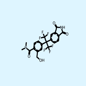 CN(C)C(=O)c1ccc(C(c2ccc3c(c2)C(=O)NC3=O)(C(F)(F)F)C(F)(F)F)cc1CO